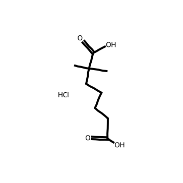 CC(C)(CCCCC(=O)O)C(=O)O.Cl